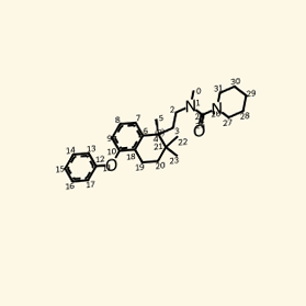 CN(CC[C@@]1(C)c2cccc(Oc3ccccc3)c2CCC1(C)C)C(=O)N1CCCCC1